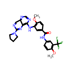 COc1ccc(C(=O)Nc2ccc(OC)c(C(F)(F)F)c2)cc1Nc1ncnc2cnc(N3CCCC3)nc12